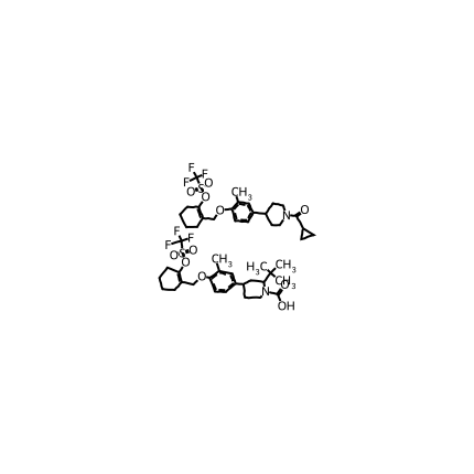 Cc1cc(C2CCN(C(=O)C3CC3)CC2)ccc1OCC1=C(OS(=O)(=O)C(F)(F)F)CCCC1.Cc1cc(C2CCN(C(=O)O)C(C(C)(C)C)C2)ccc1OCC1=C(OS(=O)(=O)C(F)(F)F)CCCC1